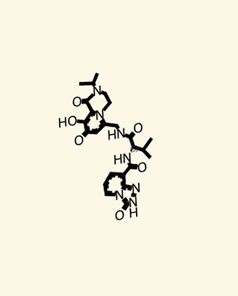 CC(C)[C@H](NC(=O)c1cccn2c(=O)[nH]nc12)C(=O)NCc1cc(=O)c(O)c2n1CCN(C(C)C)C2=O